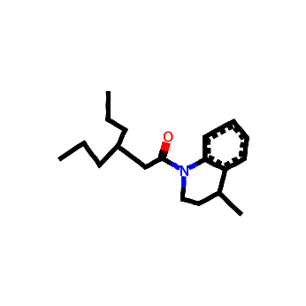 CCCC(CCC)CC(=O)N1CCC(C)c2ccccc21